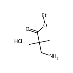 CCOC(=O)C(C)(C)CN.Cl